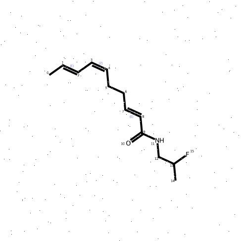 C/C=C/C=C\CC/C=C/C(=O)NCC(C)F